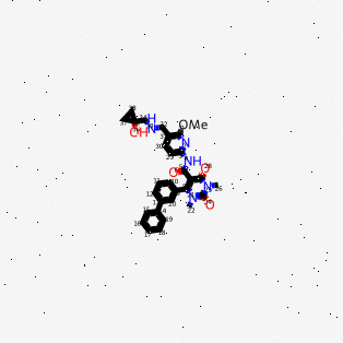 COc1nc(NC(=O)c2c(-c3cccc(-c4ccccc4)c3)n(C)c(=O)n(C)c2=O)ccc1CNCC1(O)CC1